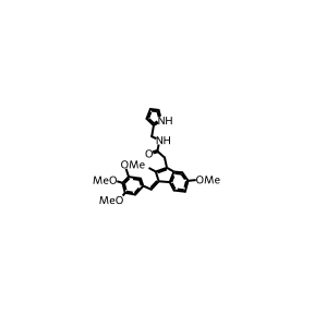 COc1ccc2c(c1)C(CC(=O)NCc1ccc[nH]1)=C(C)C2=Cc1cc(OC)c(OC)c(OC)c1